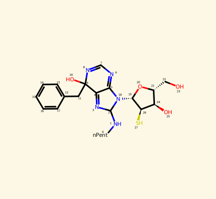 CCCCCNC1N=C2C(=NC=NC2(O)Cc2ccccc2)N1[C@@H]1O[C@H](CO)[C@@H](O)[C@H]1S